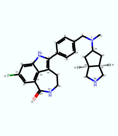 CN(Cc1ccc(-c2[nH]c3cc(F)cc4c3c2CCNC4=O)cc1)C1C[C@H]2CNC[C@H]2C1